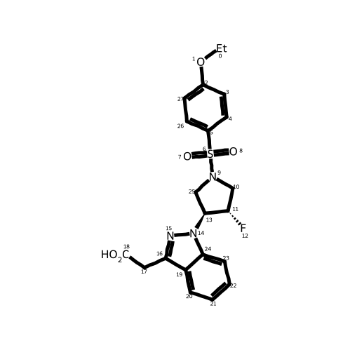 CCOc1ccc(S(=O)(=O)N2C[C@H](F)[C@@H](n3nc(CC(=O)O)c4ccccc43)C2)cc1